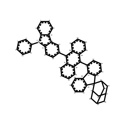 c1ccc(-n2c3ccccc3c3cc(-c4c5ccccc5c(-c5cccc6c5-c5ccccc5C65C6CC7CC(C6)CC5C7)c5ccccc45)ccc32)cc1